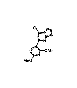 COc1ncc(-c2cc(Cl)n3ccnc3n2)c(OC)n1